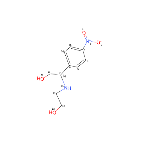 O=[N+]([O-])c1ccc([C@@H](CO)NCCO)cc1